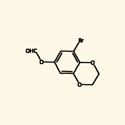 O=COc1cc(Br)c2c(c1)OCCO2